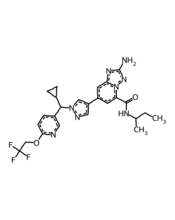 CCC(C)NC(=O)c1cc(-c2cnn(C(c3ccc(OCC(F)(F)F)nc3)C3CC3)c2)cc2nc(N)nn12